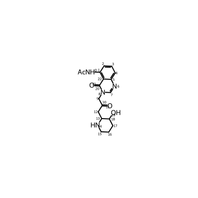 CC(=O)Nc1cccc2ncn(CC(=O)CC3NCCCC3O)c(=O)c12